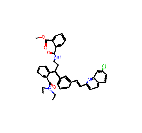 CCN(CC)C(=O)c1ccccc1C(CCNC(=O)c1ccccc1C(=O)OC)c1cccc(C=Cc2ccc3ccc(Cl)cc3n2)c1